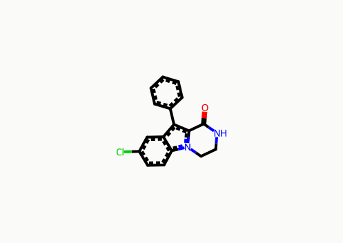 O=C1NCCn2c1c(-c1ccccc1)c1cc(Cl)ccc12